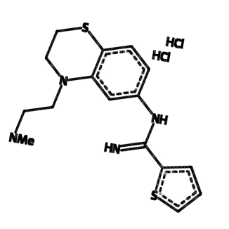 CNCCN1CCSc2ccc(NC(=N)c3cccs3)cc21.Cl.Cl